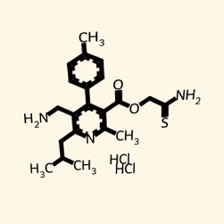 Cc1ccc(-c2c(CN)c(CC(C)C)nc(C)c2C(=O)OCC(N)=S)cc1.Cl.Cl